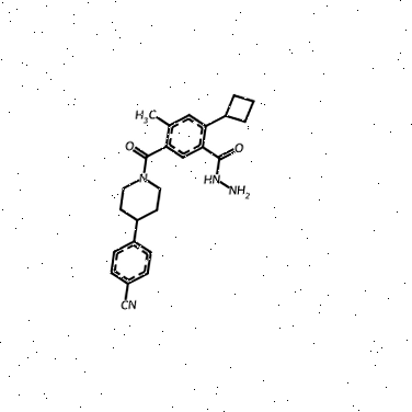 Cc1cc(C2CCC2)c(C(=O)NN)cc1C(=O)N1CCC(c2ccc(C#N)cc2)CC1